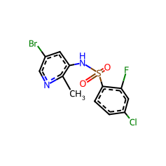 Cc1ncc(Br)cc1NS(=O)(=O)c1ccc(Cl)cc1F